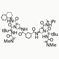 CN[C@@H](C)C(=O)N[C@H](C(=O)N1C[C@@H](NC(=O)c2cccc(C(=O)N[C@H]3C[C@@H](C(=O)N[C@H](C)C(C)C)N(C(=O)[C@@H](NC(=O)[C@H](C)NC)C(C)(C)C)C3)c2)C[C@H]1C(=O)N[C@@H]1CCCc2ccccc21)C(C)(C)C